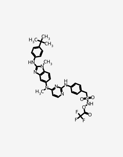 CN(c1ccc2c(c1)nc(Nc1ccc(C(C)(C)C)cc1)n2C)c1ccnc(Nc2ccc(CS(=O)(=O)NOC(=O)C(F)(F)F)cc2)n1